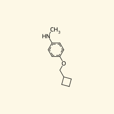 CNc1ccc(OCC2CCC2)cc1